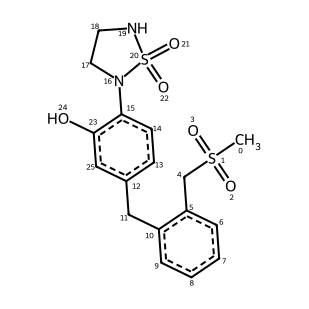 CS(=O)(=O)Cc1ccccc1Cc1ccc(N2CCNS2(=O)=O)c(O)c1